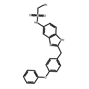 CC(C)CS(=O)(=O)Nc1ccc2[nH]c(Cc3ccc(Oc4ccccc4)cc3)nc2c1